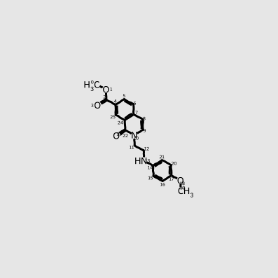 COC(=O)c1ccc2ccn(CCNc3ccc(OC)cc3)c(=O)c2c1